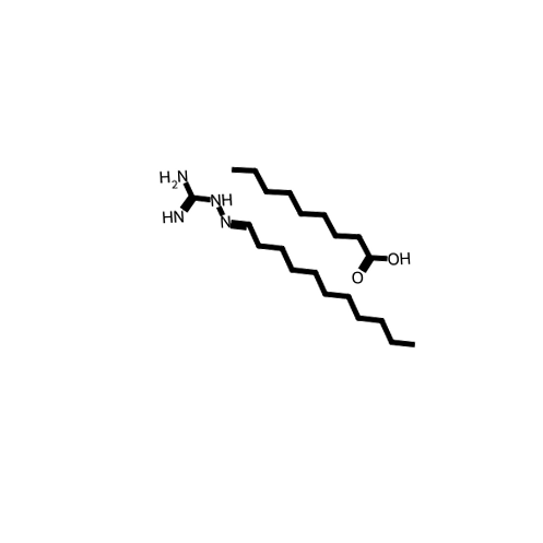 CCCCCCCCC(=O)O.CCCCCCCCCCC=NNC(=N)N